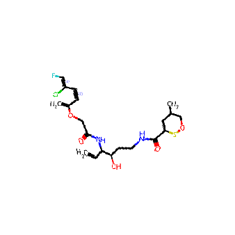 C=CC(NC(=O)COC(=C)/C=C\C(Cl)=C\F)C(O)CCNC(=O)C1CC(C)COS1